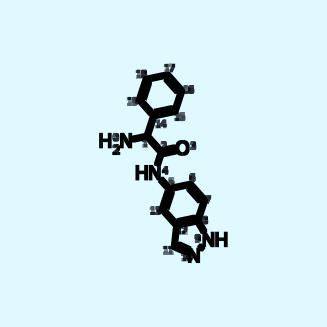 NC(C(=O)Nc1ccc2[nH]ncc2c1)c1ccccc1